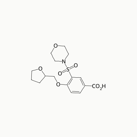 O=C(O)c1ccc(OCC2CCCO2)c(S(=O)(=O)N2CCOCC2)c1